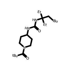 CCC(C)CC(CC)(CC)NC(=O)NC1CCN(C(=O)C(C)(C)C)CC1